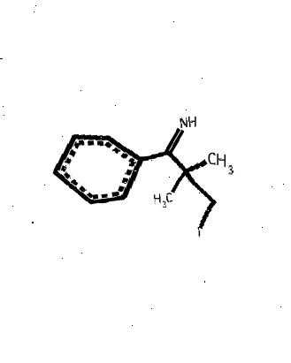 CC(C)(CI)C(=N)c1ccccc1